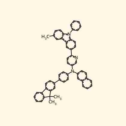 Cc1ccc2c(c1)c1cc(-c3ccc(N(c4ccc(-c5ccc6c(c5)C(C)(C)c5ccccc5-6)cc4)c4ccc5ccccc5c4)cn3)ccc1n2-c1ccccc1